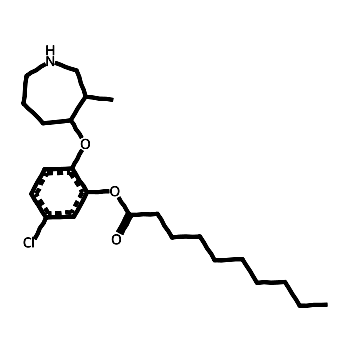 CCCCCCCCCC(=O)Oc1cc(Cl)ccc1OC1CCCNCC1C